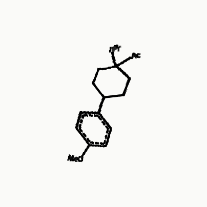 CCCC1(C(C)=O)CCC(c2ccc(OC)cc2)CC1